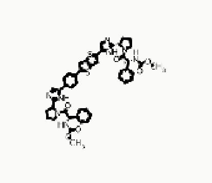 COC(=O)N[C@@H](C(=O)N1CCCC1c1ncc(-c2ccc(-c3cc4sc(-c5cnc([C@@H]6CCCN6C(=O)[C@H](NC(=O)OC)c6ccccc6)[nH]5)cc4s3)cc2)[nH]1)c1ccccc1